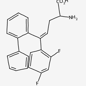 NC(CC=C(c1ccc(F)cc1F)c1ccccc1-c1ccccc1)C(=O)O